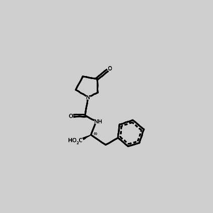 O=C1CCN(C(=O)N[C@@H](Cc2ccccc2)C(=O)O)C1